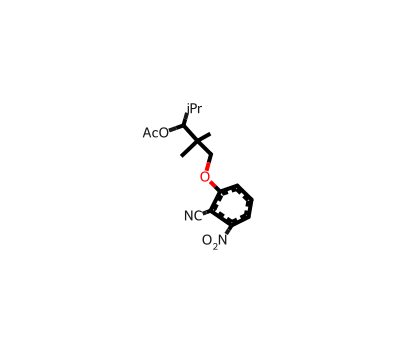 CC(=O)OC(C(C)C)C(C)(C)COc1cccc([N+](=O)[O-])c1C#N